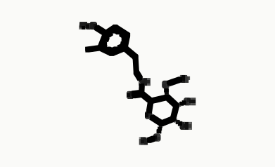 COc1ccc(CCNC(=O)C2O[C@@H](OC(C)C)[C@@H](O)[C@@H](O)[C@H]2OC(C)C)cc1C